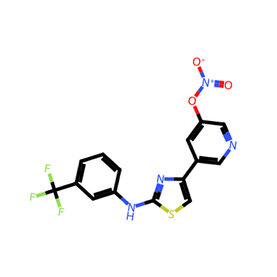 O=[N+]([O-])Oc1cncc(-c2csc(Nc3cccc(C(F)(F)F)c3)n2)c1